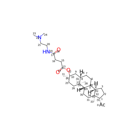 CC(=O)[C@H]1CC[C@H]2[C@@H]3CC[C@H]4C[C@](C)(OC(=O)CCC(=O)NCCN(C)C)CC[C@]4(C)[C@H]3CC[C@]12C